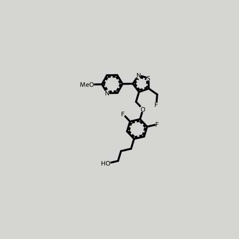 COc1ccc(-c2nsc(CF)c2COc2c(F)cc(CCCO)cc2F)cn1